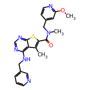 COc1cc(CN(C)C(=O)c2sc3ncnc(NCc4cccnc4)c3c2C)ccn1